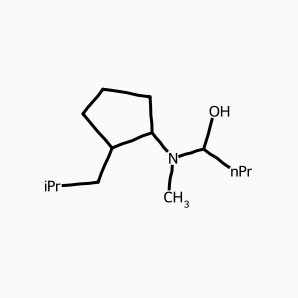 CCCC(O)N(C)C1CCCC1CC(C)C